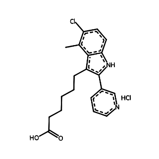 Cc1c(Cl)ccc2[nH]c(-c3cccnc3)c(CCCCCC(=O)O)c12.Cl